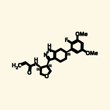 C=CC(=O)N[C@@H]1COC[C@@H]1c1n[nH]c2c1CC[C@H](c1cc(OC)cc(OC)c1F)C2